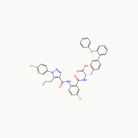 CCCc1c(C(=O)Nc2ccc(Cl)cc2C(=O)N[C@@H](Cc2ccc(-c3ccccc3Oc3ccccc3)cc2)C(=O)O)cnn1-c1ccc(Cl)cc1